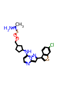 CN(N)SOOCC1CCC(Nc2ccnc3cc(-c4csc5cc(Cl)ccc45)nn23)C1